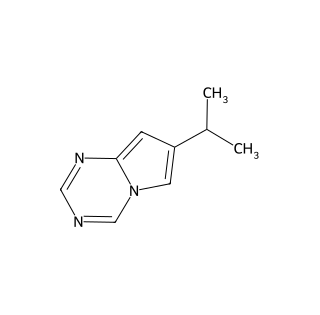 CC(C)c1cc2ncncn2c1